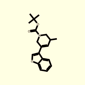 CC1C=C(c2coc3ccccc23)CN(C(=O)OC(C)(C)C)C1